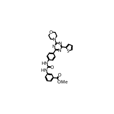 COC(=O)c1cccc(NC(=O)Nc2ccc(-c3nc(-c4cccs4)nc(N4CCOCC4)n3)cc2)c1